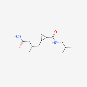 CC(C)CNC(=O)C1CC1CC(C)CC(N)=O